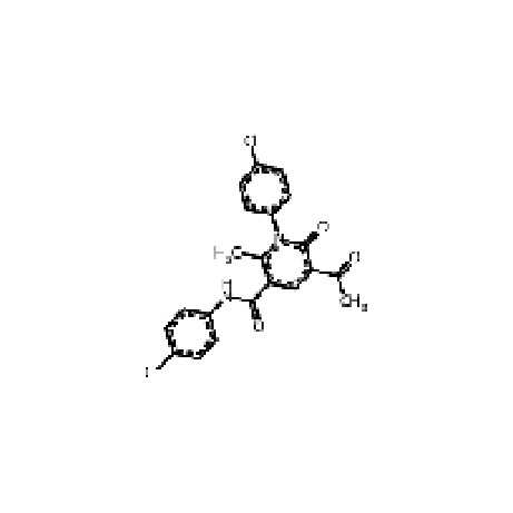 CC(=O)c1cc(C(=O)Nc2ccc(Cl)cc2)c(C)n(-c2ccc(Cl)cc2)c1=O